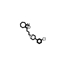 Clc1cccc(C2CCN(CCCc3onc4c3CCCCC4)CC2)c1